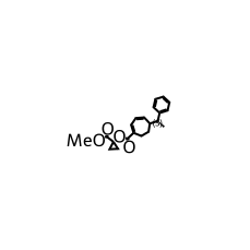 COC(=O)C1(OC(=O)C2=CC=CC([C@H](C)c3ccccc3)CC2)CC1